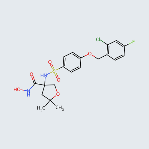 CC1(C)CC(NS(=O)(=O)c2ccc(OCc3ccc(F)cc3Cl)cc2)(C(=O)NO)CO1